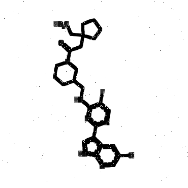 O=C(O)CC1(CC(=O)N2CCCC(CNc3nc(-c4c[nH]c5ncc(Cl)cc45)ncc3F)C2)CCCC1